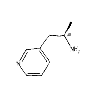 C[C@@H](N)Cc1cccnc1